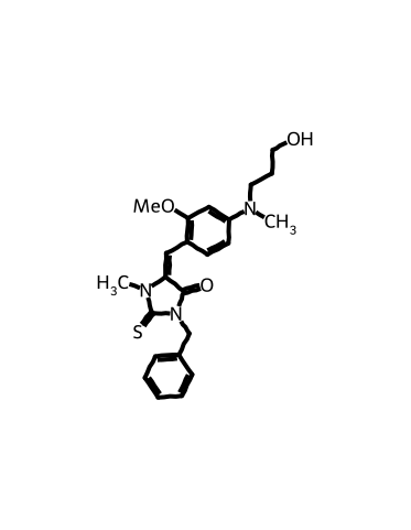 COc1cc(N(C)CCCO)ccc1C=C1C(=O)N(Cc2ccccc2)C(=S)N1C